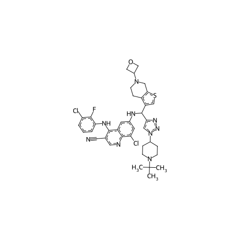 CC(C)(C)N1CCC(n2cc(C(Nc3cc(Cl)c4ncc(C#N)c(Nc5cccc(Cl)c5F)c4c3)c3csc4c3CCN(C3COC3)C4)nn2)CC1